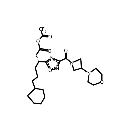 O=C(C[C@@H](CCCC1CCCCC1)c1nc(C(=O)N2CC(N3CCOCC3)C2)no1)OC(=O)C(F)(F)F